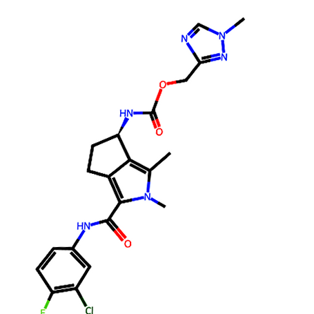 Cc1c2c(c(C(=O)Nc3ccc(F)c(Cl)c3)n1C)CC[C@H]2NC(=O)OCc1ncn(C)n1